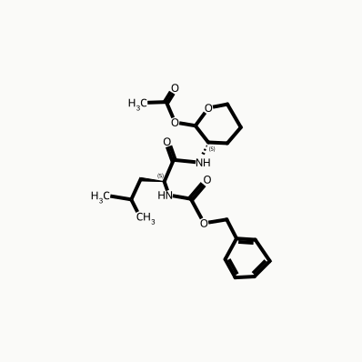 CC(=O)OC1OCCC[C@@H]1NC(=O)[C@H](CC(C)C)NC(=O)OCc1ccccc1